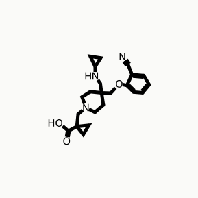 N#Cc1ccccc1OCC1(CNC2CC2)CCN(CC2(C(=O)O)CC2)CC1